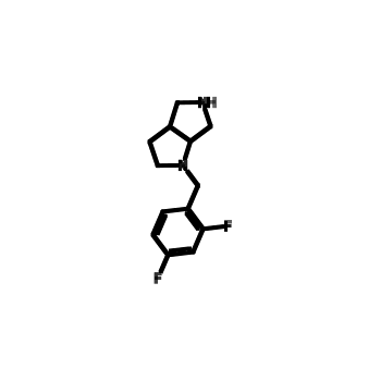 Fc1ccc(CN2CCC3CNCC32)c(F)c1